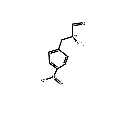 N[C@H](C=O)Cc1ccc([N+](=O)[O-])cc1